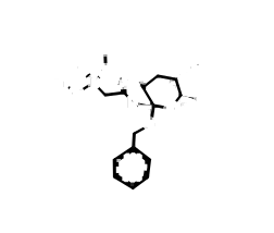 CCOP(=O)(CC(=O)N[C@]1(OCc2ccccc2)O[C@H](C)[C@@H](OC(C)=O)C[C@@H]1OC(C)=O)OCC